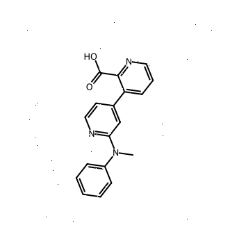 CN(c1ccccc1)c1cc(-c2cccnc2C(=O)O)ccn1